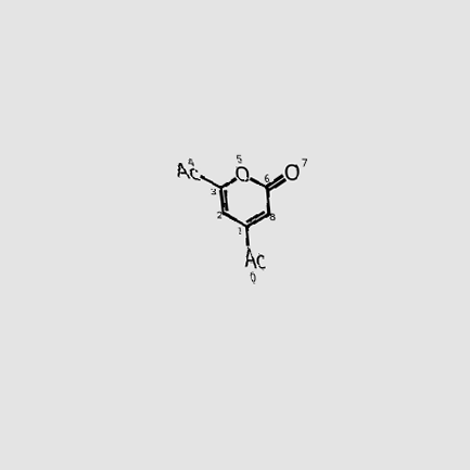 CC(=O)c1cc(C(C)=O)oc(=O)c1